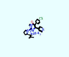 CC(C)[C@@H](N)C1CCCN1c1nc(-c2ccncc2)c(-c2ccc(Cl)cc2)c(=O)n1C